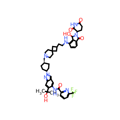 CC(C)(O)c1cc2nn([C@H]3CC[C@H](CN4CCC5(CC4)CC(CCNc4cccc6c4C(O)N(C4CCC(=O)NC4=O)C6=O)C5)CC3)cc2cc1NC(=O)c1cccc(C(F)(F)F)n1